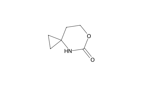 O=C1NC2(CCO1)CC2